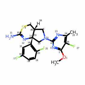 COc1nc(N2C[C@H]3CSC(N)=N[C@@]3(c3cc(F)ccc3F)C2)nc(C)c1F